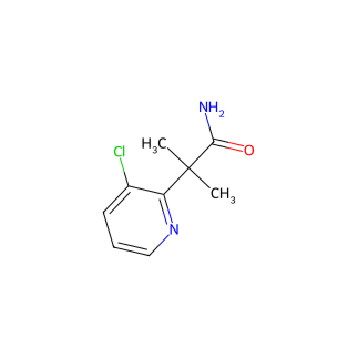 CC(C)(C(N)=O)c1ncccc1Cl